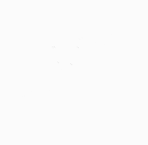 CCCN(CC1CCCO1)c1c(SC)nc2c(-c3ccc(Cl)cc3Cl)cccn12